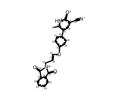 Cc1[nH]c(=O)c(C#N)cc1-c1ccc(O/C=C/CN2C(=O)c3ccccc3C2=O)cc1